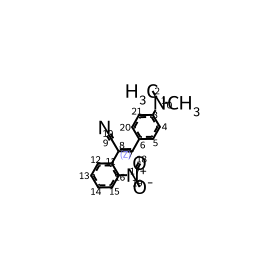 CN(C)c1ccc(/C=C(\C#N)c2ccccc2[N+](=O)[O-])cc1